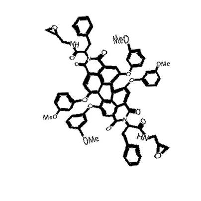 COc1cccc(Oc2cc3c4c(cc(Oc5cccc(OC)c5)c5c6c(Oc7cccc(OC)c7)cc7c8c(cc(Oc9cccc(OC)c9)c(c2c45)c86)C(=O)N(C(Cc2ccccc2)C(=O)NCC2CO2)C7=O)C(=O)N(C(Cc2ccccc2)C(=O)NCC2CO2)C3=O)c1